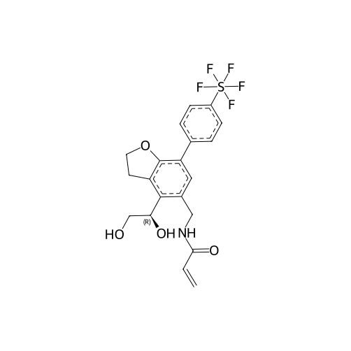 C=CC(=O)NCc1cc(-c2ccc(S(F)(F)(F)(F)F)cc2)c2c(c1[C@@H](O)CO)CCO2